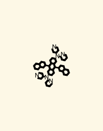 c1ccc(N(c2ccncc2)c2ccc3c(-c4ccc5ccccc5c4)c4cc(N(c5ccncc5)c5ccccn5)ccc4c(-c4ccc5ccccc5c4)c3c2)nc1